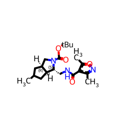 Cc1noc(C)c1C(=O)NC[C@@H]1[C@H]2CC(C)C[C@H]2CN1C(=O)OC(C)(C)C